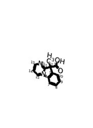 CC(C(=O)O)(c1ccccc1)c1ncccn1